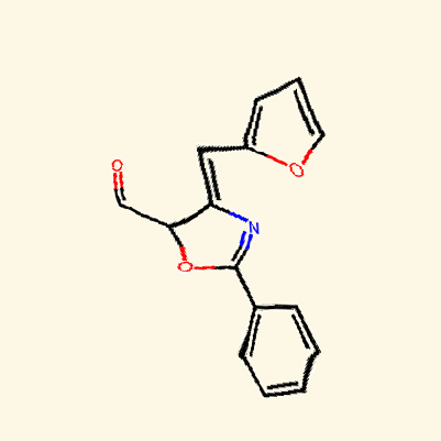 O=CC1OC(c2ccccc2)=NC1=Cc1ccco1